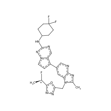 Cc1nc2ncc(-c3ccn4nc(NC5CCC(F)(F)CC5)ncc34)cc2n1Cc1nnc([C@@H](C)F)o1